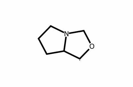 [CH]1OCN2CCCC12